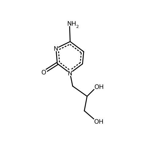 Nc1ccn(CC(O)CO)c(=O)n1